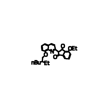 CCCCC(CC)COc1cccc2ccc(C3C(=O)c4cccc(OCC)c4C3=O)nc12